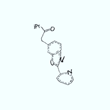 CC(C)C(=O)Cc1ccc2nc(-c3ccccn3)oc2c1